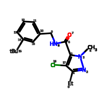 CCc1nn(C)c(C(=O)NCc2cccc(C(C)(C)C)c2)c1Cl